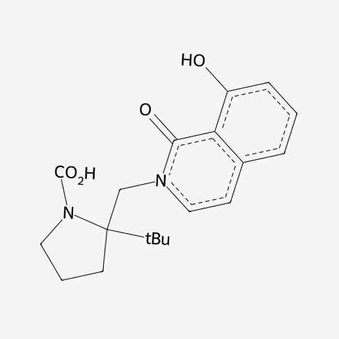 CC(C)(C)C1(Cn2ccc3cccc(O)c3c2=O)CCCN1C(=O)O